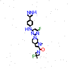 Cn1c(C(=O)N2CC(C)(F)C2)cc2c1CN(c1nc(F)cc(Nc3ccc(-c4cn[nH]c4)cc3)n1)CC2